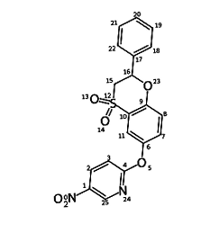 O=[N+]([O-])c1ccc(Oc2ccc3c(c2)S(=O)(=O)CC(c2ccccc2)O3)nc1